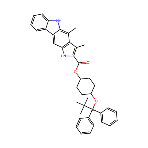 Cc1c(C(=O)OC2CCC(O[Si](c3ccccc3)(c3ccccc3)C(C)(C)C)CC2)[nH]c2cc3c([nH]c4ccccc43)c(C)c12